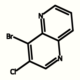 Clc1cnc2cccnc2c1Br